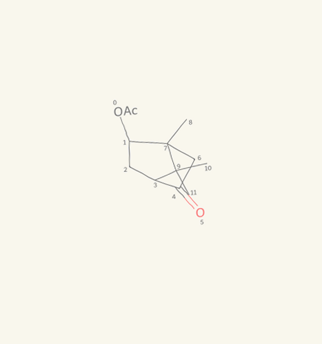 CC(=O)OC1CC2C(=O)CC1(C)C2(C)C